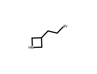 C[C](C)CCC1CNC1